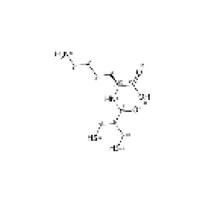 NCCCC[C@H](NC(=O)C(CS)CS)C(=O)O